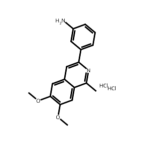 COc1cc2cc(-c3cccc(N)c3)nc(C)c2cc1OC.Cl.Cl